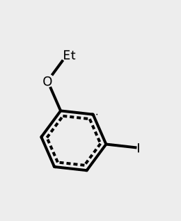 CCOc1[c]c(I)ccc1